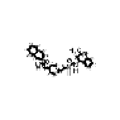 Cc1cc(NC(=O)NCCN2CCC(NS(=O)(=O)c3ccc4ccccc4c3)CC2)c2ccccc2n1